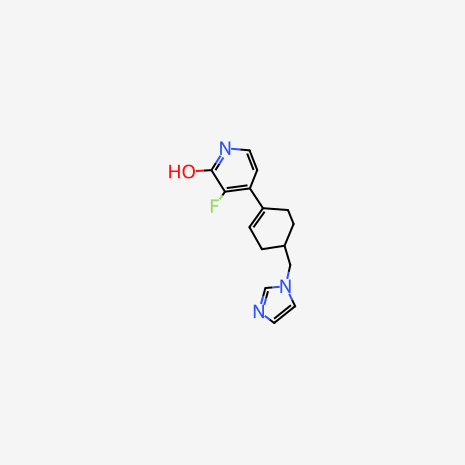 Oc1nccc(C2=CCC(Cn3ccnc3)CC2)c1F